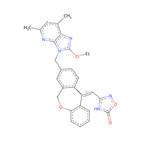 CCOc1nc2c(C)cc(C)nc2n1Cc1ccc2c(c1)COc1ccccc1/C2=C\c1noc(=O)[nH]1